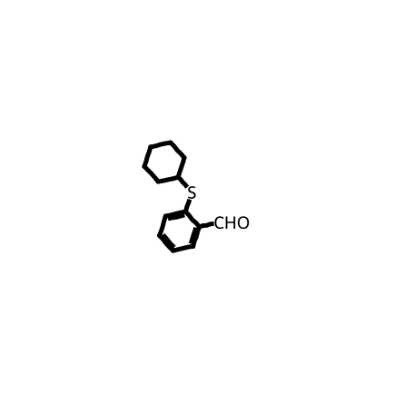 O=Cc1ccccc1SC1CCCCC1